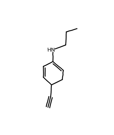 C#CC1C=CC(NCCC)=CC1